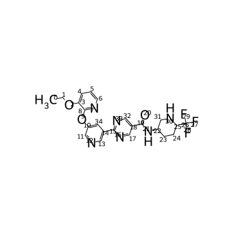 CCOc1cccnc1Oc1cncc(-c2ncc(C(=O)N[C@@H]3CC[C@H](C(F)(F)F)NC3)cn2)c1